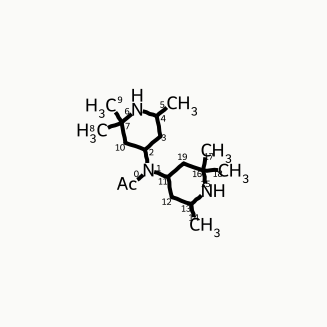 CC(=O)N(C1CC(C)NC(C)(C)C1)C1CC(C)NC(C)(C)C1